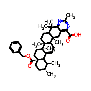 Cc1nc(C(=O)O)c2c(n1)C(C)(C)C1CC[C@]3(C)C(CC=C4C5[C@@H](C)[C@H](C)CC[C@]5(C(=O)OCc5ccccc5)CC[C@]43C)[C@@]1(C)C2